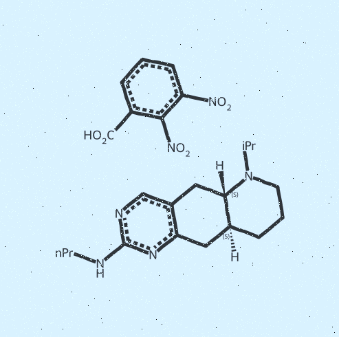 CCCNc1ncc2c(n1)C[C@@H]1CCCN(C(C)C)[C@H]1C2.O=C(O)c1cccc([N+](=O)[O-])c1[N+](=O)[O-]